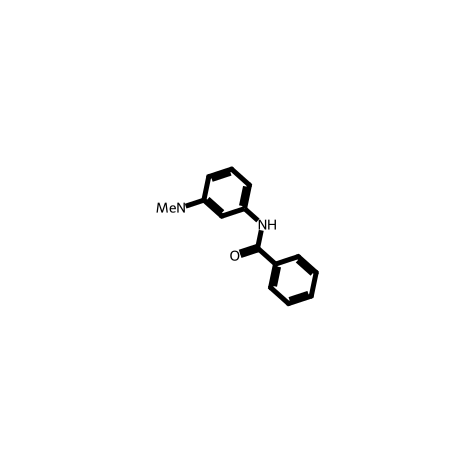 CNc1cccc(NC(=O)c2ccccc2)c1